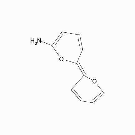 NC1=CC=CC(=C2C=CC=CO2)O1